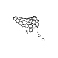 COCCOCCN1CC2C3=c4c5c6c7c(cc8cc9cc%10cc%11cc%12c%13c(c4c4c5c5c7c8c7c9c%10c8c%11c%13c4c8c75)=C(C3)C%12)CC62C1c1ccc([Si](C)(C)C)cc1